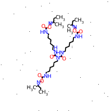 CC/C(C)=N\OC(=O)NCCCCCCN(C(=O)NCCCCCCNC(=O)O/N=C(\C)CC)C(=O)NCCCCCCNC(=O)O/N=C(\C)CC